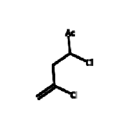 C=C(Cl)CC(Cl)C(C)=O